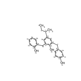 CCC(C)c1cc(Cc2ccc(O)cc2)c(O)c(Cc2ccccc2O)c1